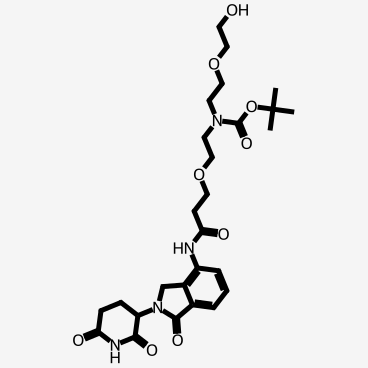 CC(C)(C)OC(=O)N(CCOCCO)CCOCCC(=O)Nc1cccc2c1CN(C1CCC(=O)NC1=O)C2=O